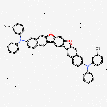 N#Cc1cccc(N(c2ccccc2)c2ccc3cc4c(cc3c2)oc2cc3oc5cc6cc(N(c7ccccc7)c7cccc(C#N)c7)ccc6cc5c3cc24)c1